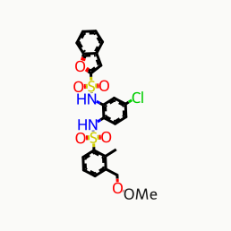 COOCc1cccc(S(=O)(=O)Nc2ccc(Cl)cc2NS(=O)(=O)c2cc3ccccc3o2)c1C